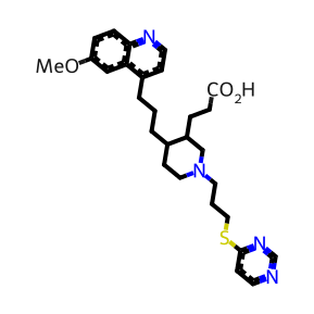 COc1ccc2nccc(CCCC3CCN(CCCSc4ccncn4)CC3CCC(=O)O)c2c1